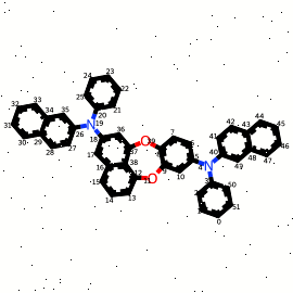 c1ccc(N(c2ccc3c(c2)Oc2cccc4cc(N(c5ccccc5)c5ccc6ccccc6c5)cc(c24)O3)c2ccc3ccccc3c2)cc1